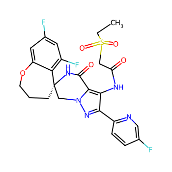 CCS(=O)(=O)CC(=O)Nc1c(-c2ccc(F)cn2)nn2c1C(=O)N[C@@]1(CCCOc3cc(F)cc(F)c31)C2